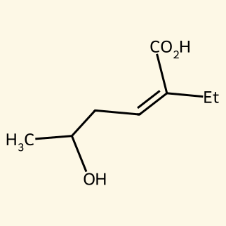 CCC(=CCC(C)O)C(=O)O